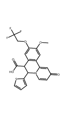 COc1cc2c(cc1OCC(F)(F)F)C(C(=O)O)C(c1cccs1)n1ccc(=O)cc1-2